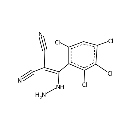 N#CC(C#N)=C(NN)c1c(Cl)cc(Cl)c(Cl)c1Cl